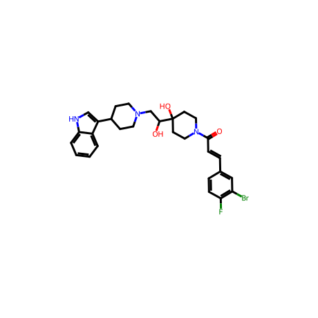 O=C(C=Cc1ccc(F)c(Br)c1)N1CCC(O)(C(O)CN2CCC(c3c[nH]c4ccccc34)CC2)CC1